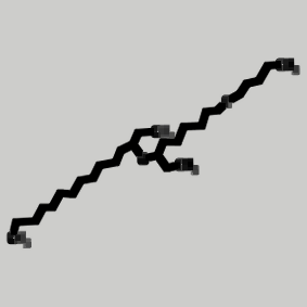 CCCCCCCCCCCCC(CC)OC(CC)CCCCCCCCCCCC